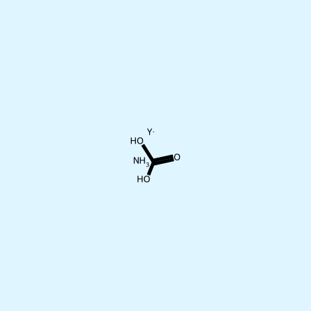 N.O=C(O)O.[Y]